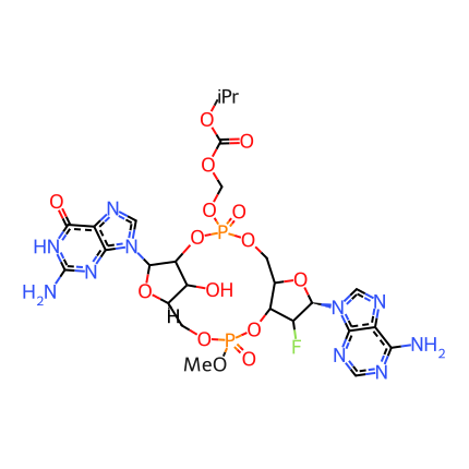 COP1(=O)OC[C@H]2OC(n3cnc4c(=O)[nH]c(N)nc43)C(OP(=O)(OCOC(=O)OC(C)C)OCC3O[C@@H](n4cnc5c(N)ncnc54)C(F)C3O1)C2O